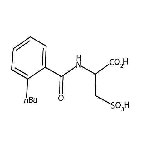 CCCCc1ccccc1C(=O)NC(CS(=O)(=O)O)C(=O)O